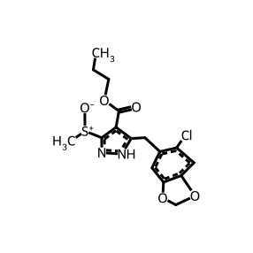 CCCOC(=O)c1c([S+](C)[O-])n[nH]c1Cc1cc2c(cc1Cl)OCO2